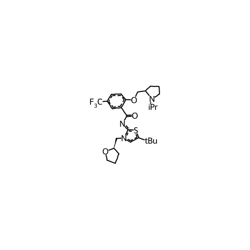 CC(C)N1CCCC1COc1ccc(C(F)(F)F)cc1C(=O)N=c1sc(C(C)(C)C)cn1C[C@H]1CCCO1